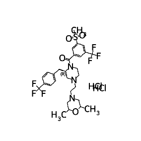 CC1CN(CCN2CCN(C(=O)c3cc(C(F)(F)F)cc(S(C)(=O)=O)c3)[C@H](Cc3ccc(C(F)(F)F)cc3)C2)CC(C)O1.Cl.Cl